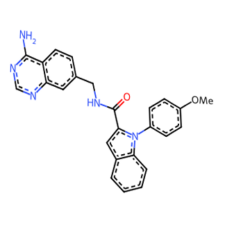 COc1ccc(-n2c(C(=O)NCc3ccc4c(N)ncnc4c3)cc3ccccc32)cc1